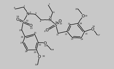 CCN(CCN(CC)S(=O)(=O)Cc1ccc(OC)c(OC)c1)S(=O)(=O)Cc1ccc(OC)c(OC)c1